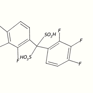 O=S(=O)(O)C(c1ccc(F)c(F)c1F)(c1ccc(F)c(F)c1F)S(=O)(=O)O